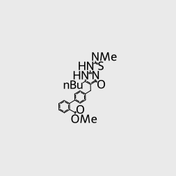 CCCCc1[nH]c(NC(=S)NC)nc(=O)c1Cc1ccc(-c2ccccc2C(=O)OC)cc1